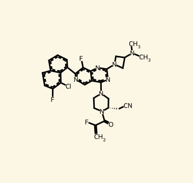 C=C(F)C(=O)N1CCN(c2nc(N3CC(N(C)C)C3)nc3c(F)c(-c4cccc5ccc(F)c(Cl)c45)ncc23)C[C@@H]1CC#N